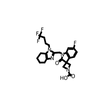 O=C(O)N1CC2(C1)C(=O)N(Cc1nc3c(n1CCCC(F)(F)F)CCCC3)c1cc(F)ccc12